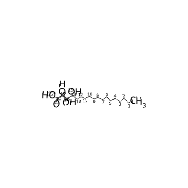 CCCCCCCCCCCCCCC(O)C(O)=C(O)C(=O)O